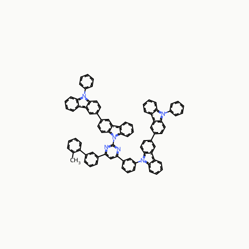 Cc1ccccc1-c1cccc(-c2cc(-c3cccc(-n4c5ccccc5c5cc(-c6ccc7c(c6)c6ccccc6n7-c6ccccc6)ccc54)c3)nc(-n3c4ccccc4c4cc(-c5ccc6c(c5)c5ccccc5n6-c5ccccc5)ccc43)n2)c1